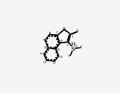 CC1=C([SiH](C)C)c2c(ccc3ccccc23)C1